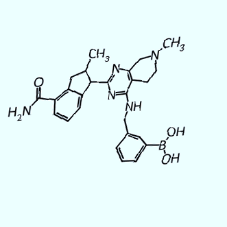 CC1Cc2c(C(N)=O)cccc2C1c1nc2c(c(NCc3cccc(B(O)O)c3)n1)CCN(C)C2